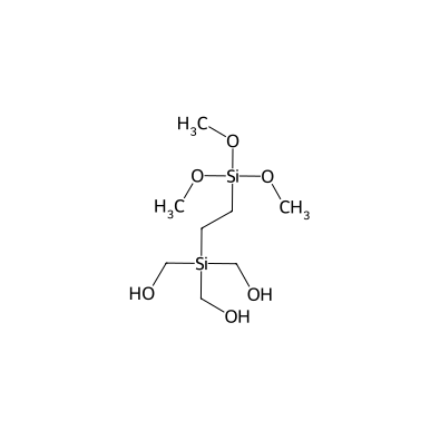 CO[Si](CC[Si](CO)(CO)CO)(OC)OC